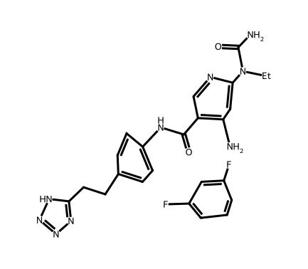 CCN(C(N)=O)c1cc(N)c(C(=O)Nc2ccc(CCc3nnn[nH]3)cc2)cn1.Fc1cccc(F)c1